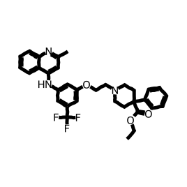 CCOC(=O)C1(c2ccccc2)CCN(CCOc2cc(Nc3cc(C)nc4ccccc34)cc(C(F)(F)F)c2)CC1